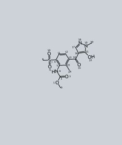 COC(=O)Nc1c(S(C)(=O)=O)ccc(C(=O)c2cnn(C)c2O)c1C